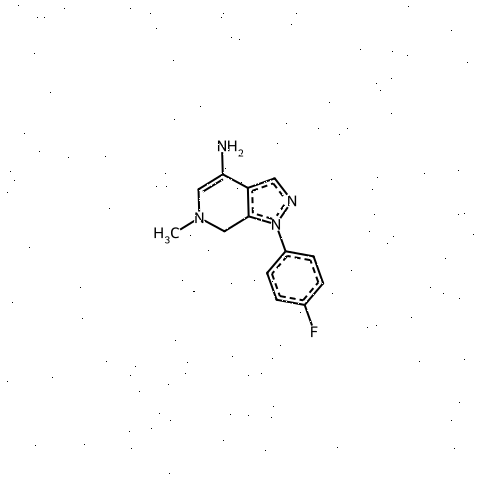 CN1C=C(N)c2cnn(-c3ccc(F)cc3)c2C1